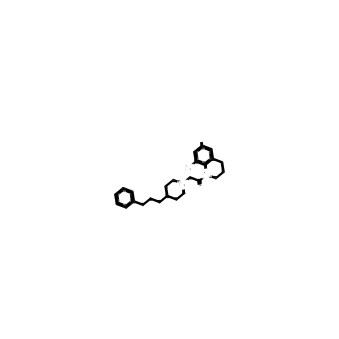 C=C(CN1CCC(CCCc2ccccc2)CC1)N1CCCc2cc(F)cc(N)c21